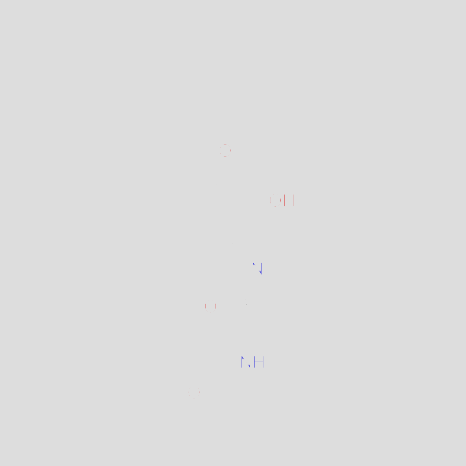 O=[C]N[C@H]1CCCCN(CC(O)COC2C=CC=CC2)C1=O